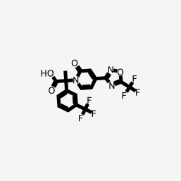 CC(C(=O)O)(c1cccc(C(F)(F)F)c1)n1ccc(-c2noc(C(F)(F)F)n2)cc1=O